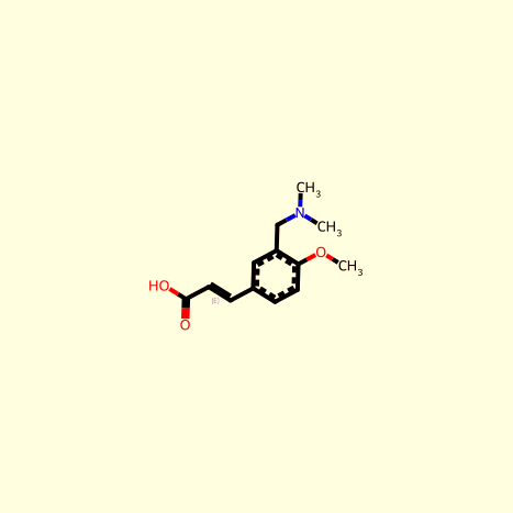 COc1ccc(/C=C/C(=O)O)cc1CN(C)C